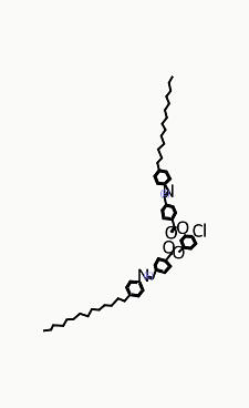 CCCCCCCCCCCCCCc1ccc(/N=C/c2ccc(C(=O)Oc3ccc(Cl)c(OC(=O)c4ccc(/C=N/c5ccc(CCCCCCCCCCCCCC)cc5)cc4)c3)cc2)cc1